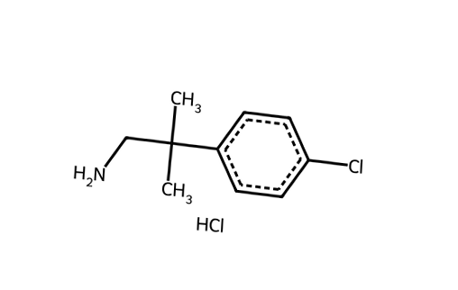 CC(C)(CN)c1ccc(Cl)cc1.Cl